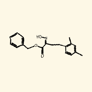 Cc1ccc(CCC(=NO)C(=O)OCc2ccccc2)c(C)c1